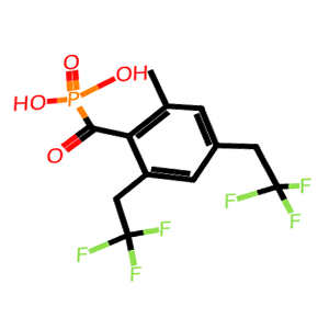 Cc1cc(CC(F)(F)F)cc(CC(F)(F)F)c1C(=O)P(=O)(O)O